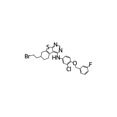 Fc1cccc(COc2ccc(Nc3ncnc4sc5c(c34)CCC(CCBr)C5)cc2Cl)c1